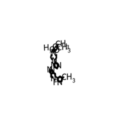 Cc1cnc(F)c(-c2cc3c(cn2)cnn3-c2cncc(N3CCCN(C(=O)OC(C)(C)C)CC3)n2)c1